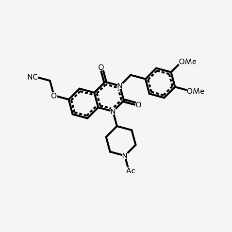 COc1ccc(Cn2c(=O)c3cc(OCC#N)ccc3n(C3CCN(C(C)=O)CC3)c2=O)cc1OC